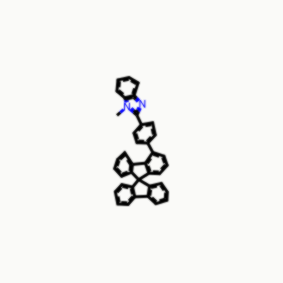 Cn1c(-c2ccc(-c3cccc4c3-c3ccccc3C43c4ccccc4-c4ccccc43)cc2)nc2ccccc21